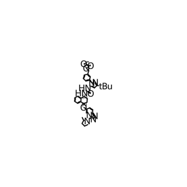 CC1CCCN1c1nnc2ccc(O[C@@H]3CC[C@H](NC(=O)Nc4cc(C(C)(C)C)nn4-c4cccc(COS(C)(=O)=O)c4)c4ccccc43)cn12